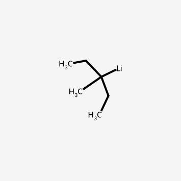 [Li][C](C)(CC)CC